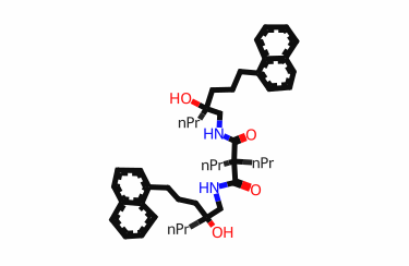 CCCC(O)(CCCc1cccc2ccccc12)CNC(=O)C(CCC)(CCC)C(=O)NCC(O)(CCC)CCCc1cccc2ccccc12